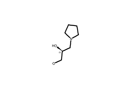 [O]C[C@@H](O)CN1CCCC1